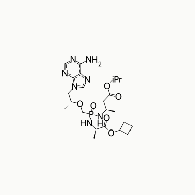 CC(C)OC(=O)C[C@@H](C)NP(=O)(CO[C@H](C)Cn1cnc2c(N)ncnc21)N[C@H](C)C(=O)OC1CCC1